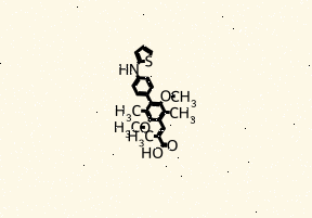 COc1c(C)c(-c2ccc(Nc3cccs3)cc2)c(OC)c(C)c1/C=C(\C)C(=O)O